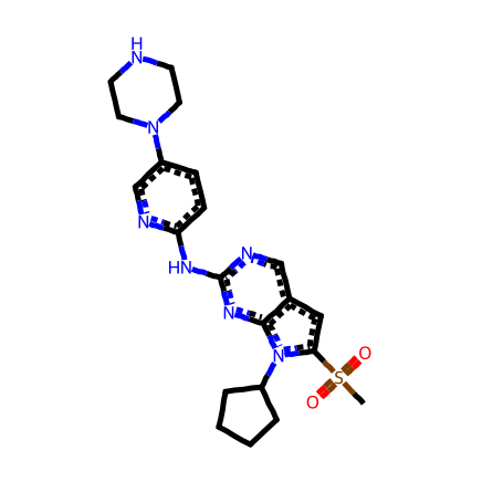 CS(=O)(=O)c1cc2cnc(Nc3ccc(N4CCNCC4)cn3)nc2n1C1CCCC1